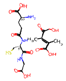 CC(C(=O)O)=C(C)C(=O)O.N[C@@H](CCC(=O)N[C@@H](CS)C(=O)NCC(=O)O)C(=O)O